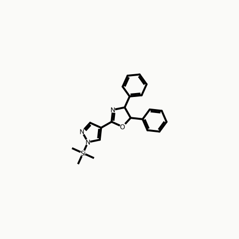 C[Si](C)(C)n1cc(C2=NC(c3ccccc3)C(c3ccccc3)O2)cn1